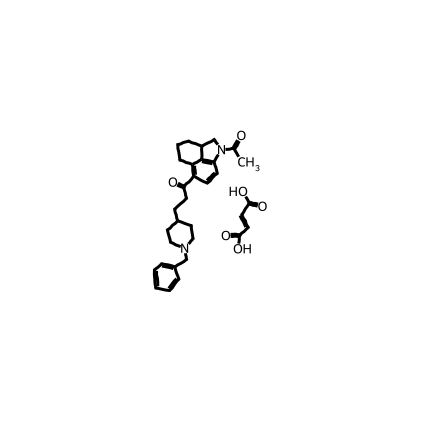 CC(=O)N1CC2CCCc3c(C(=O)CCC4CCN(Cc5ccccc5)CC4)ccc1c32.O=C(O)C=CC(=O)O